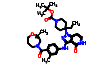 CCC1(n2nc(Nc3ccc(C(=O)N4CCCO[C@H](C)C4)c(C)c3)c3c(=O)[nH]ccc32)CCN(C(=O)OC(C)(C)C)CC1